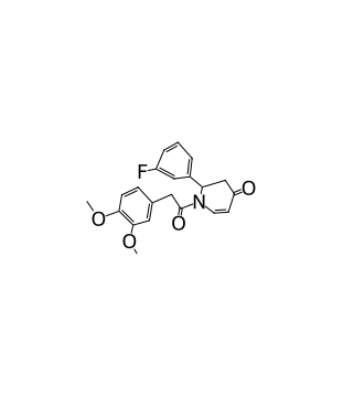 COc1ccc(CC(=O)N2C=CC(=O)CC2c2cccc(F)c2)cc1OC